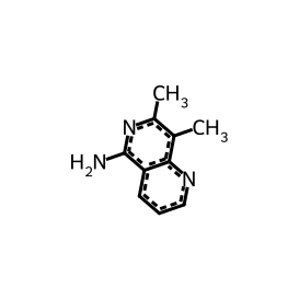 Cc1nc(N)c2cccnc2c1C